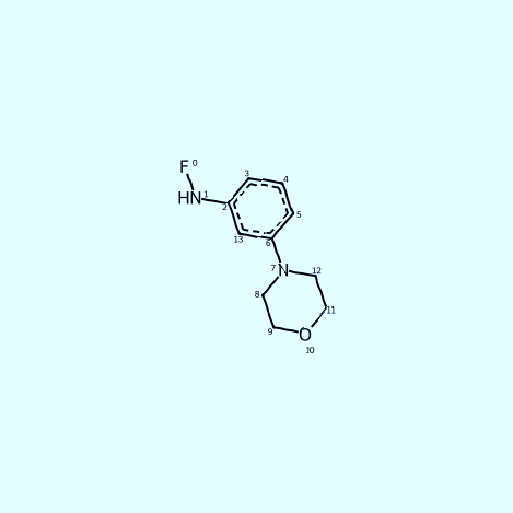 FNc1cccc(N2CCOCC2)c1